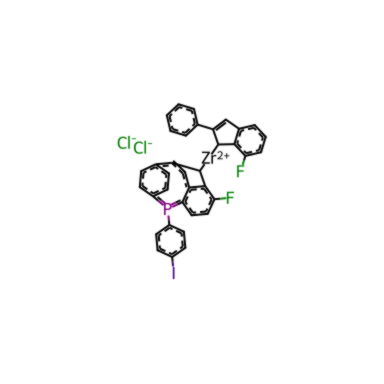 Fc1cccc2c1[CH]([Zr+2][CH]1c3cc4c1c(F)ccc4p(-c1ccc(I)cc1)c1ccc3cc1)C(c1ccccc1)=C2.[Cl-].[Cl-]